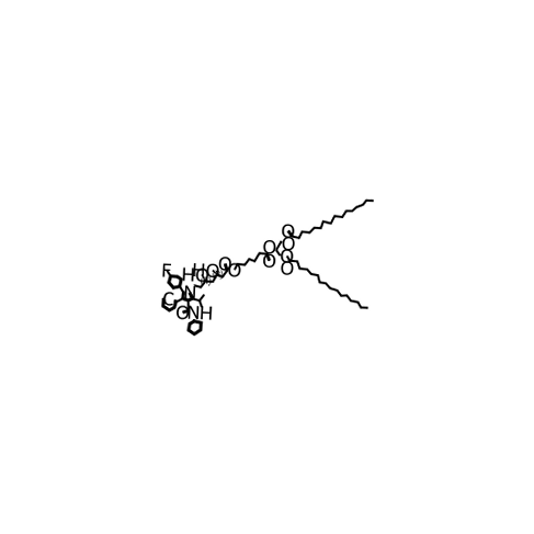 CCCCCCCCCCCCCCCC(=O)OCC(COC(=O)CCCCCCCCCCCCCCC)OC(=O)CCCCCOC(=O)C[C@H](O)C[C@H](O)CCn1c(-c2ccc(F)cc2)c(-c2ccccc2)c(C(=O)Nc2ccccc2)c1C(C)C